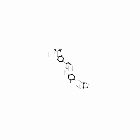 Cc1cc(Nc2nccc(-c3ccc4c(c3)OC(C)(C)C(=O)N4)n2)ccc1N1CCN2C(C1)[C@H]1CC[C@@H]2C1